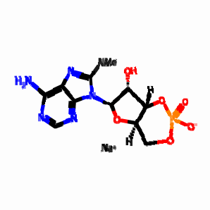 CNc1nc2c(N)ncnc2n1[C@@H]1O[C@@H]2COP(=O)([O-])O[C@H]2[C@H]1O.[Na+]